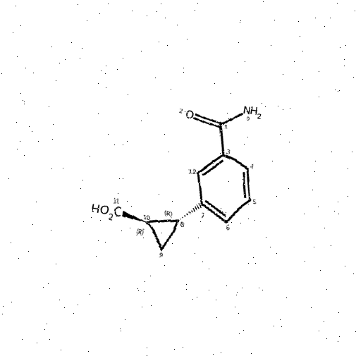 NC(=O)c1cccc([C@@H]2C[C@H]2C(=O)O)c1